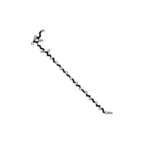 COCCOCCOCCOCCOCCOCCOCCOCCOCCOCCOCCOCCC(=O)NCCCC[C@H](NC(=O)CCC(C)C)C(=O)C(C)C